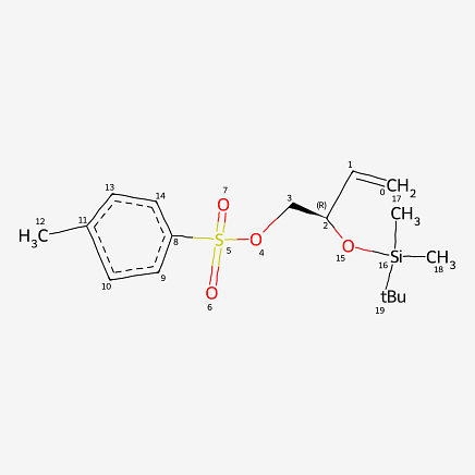 C=C[C@H](COS(=O)(=O)c1ccc(C)cc1)O[Si](C)(C)C(C)(C)C